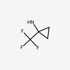 [NH]C1(C(F)(F)F)CC1